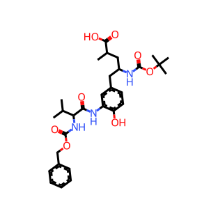 CC(CC(Cc1ccc(O)c(NC(=O)C(NC(=O)OCc2ccccc2)C(C)C)c1)NC(=O)OC(C)(C)C)C(=O)O